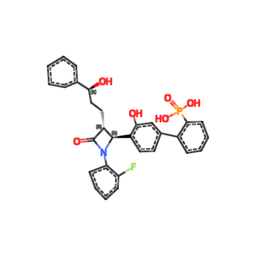 O=C1[C@H](CC[C@H](O)c2ccccc2)[C@@H](c2ccc(-c3ccccc3P(=O)(O)O)cc2O)N1c1ccccc1F